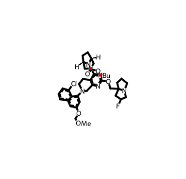 COCOc1cc(N2CCc3c(nc(OCC45CCCN4CC(F)C5)nc3N3C[C@H]4CC[C@@H](C3)N4C(=O)OC(C)(C)C)C2)c2c(Cl)cccc2c1